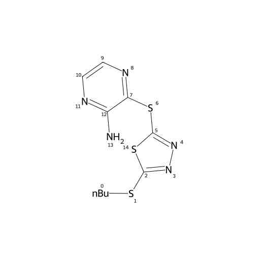 CCCCSc1nnc(Sc2nccnc2N)s1